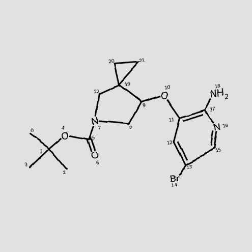 CC(C)(C)OC(=O)N1CC(Oc2cc(Br)cnc2N)C2(CC2)C1